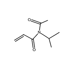 C=CC(=O)N(C(C)=O)C(C)C